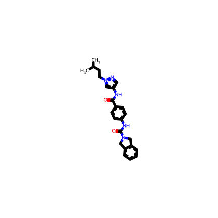 CC(C)CCn1cc(NC(=O)c2ccc(NC(=O)N3Cc4ccccc4C3)cc2)cn1